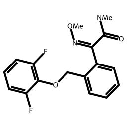 CNC(=O)C(=NOC)c1ccccc1COc1c(F)cccc1F